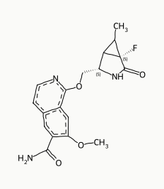 COc1cc2c(OC[C@H]3NC(=O)[C@]4(F)C(C)C34)nccc2cc1C(N)=O